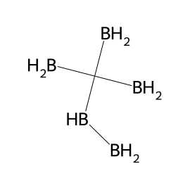 BBC(B)(B)B